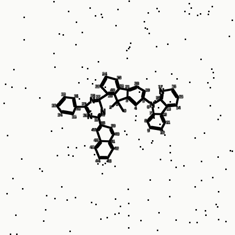 CC1(C)c2cc(-n3c4ccccc4c4cccnc43)ccc2-c2cccc(-c3nc(-c4ccccc4)nc(-c4ccc5ccccc5c4)n3)c21